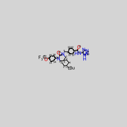 CC(C)(C)[C@H]1CC[C@@]2(CC1)CN(Cc1ccc(C(=O)Nc3nnn[nH]3)cc1)C(=O)N(c1ccc(OC(F)(F)F)cc1)C2